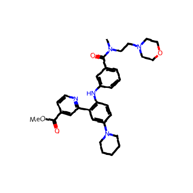 COC(=O)c1ccnc(-c2cc(N3CCCCC3)ccc2Nc2cccc(C(=O)N(C)CCN3CCOCC3)c2)c1